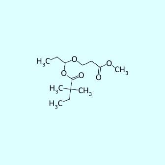 CCC(OCCC(=O)OC)OC(=O)C(C)(C)CC